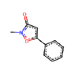 Cn1oc(-c2ccccc2)cc1=O